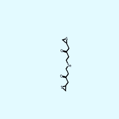 O=C(CC[Se]CCC(=O)CC1CS1)CC1CS1